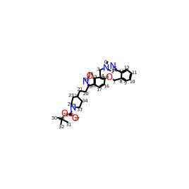 CN(C)Cc1c(OCc2ccccc2C#N)ccc2c(CCC3CCN(C(=O)OC(C)(C)C)CC3)noc12